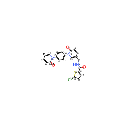 O=C(NCc1ccc(=O)n(-c2ccc(-n3ccccc3=O)cc2)c1)C1=CCC(Cl)S1